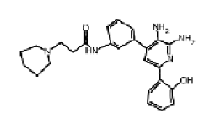 Nc1nc(-c2ccccc2O)cc(-c2cccc(NC(=O)CCN3CCCCC3)c2)c1N